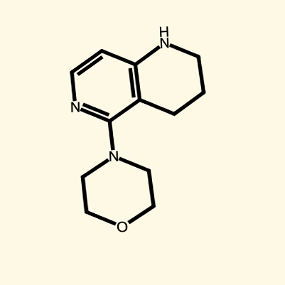 c1cc2c(c(N3CCOCC3)n1)CCCN2